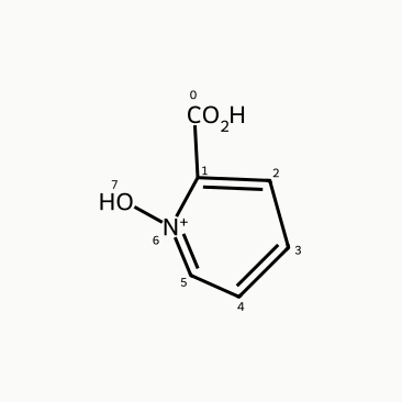 O=C(O)c1cccc[n+]1O